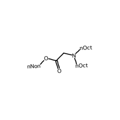 CCCCCCCCCOC(=O)CN(CCCCCCCC)CCCCCCCC